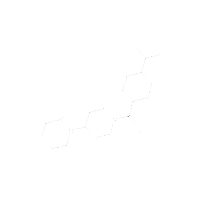 CC(C)C1CCC(C(=O)N2CCC(N3CCOCC3)CC2)CC1